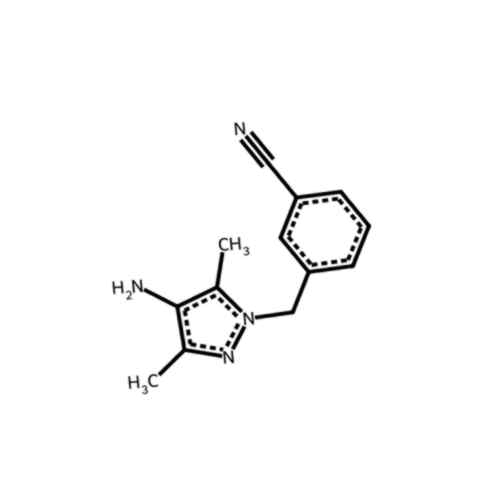 Cc1nn(Cc2cccc(C#N)c2)c(C)c1N